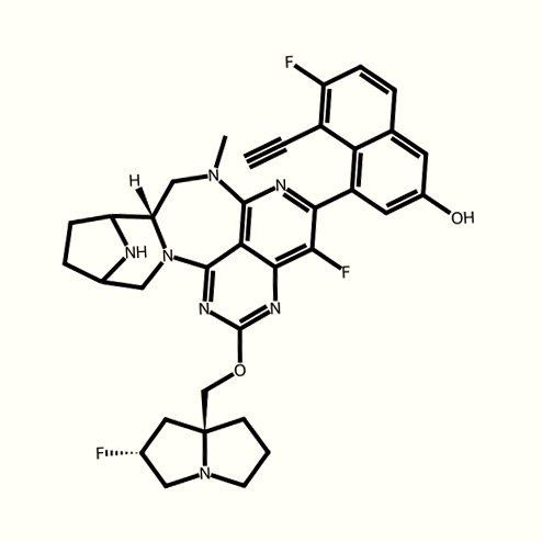 C#Cc1c(F)ccc2cc(O)cc(-c3nc4c5c(nc(OC[C@@]67CCCN6C[C@H](F)C7)nc5c3F)N3CC5CCC(N5)[C@@H]3CN4C)c12